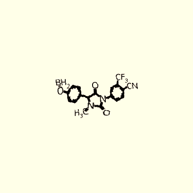 BOc1ccc(C2C(=O)N(c3ccc(C#N)c(C(F)(F)F)c3)C(=O)N2C)cc1